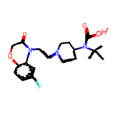 CC(C)(C)N(C(=O)O)C1CCN(CCN2C(=O)COc3ccc(F)cc32)CC1